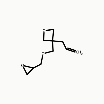 C=CCC1(COCC2CO2)COC1